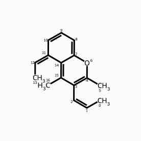 C/C=C\C1=C(C)Oc2ccc/c(=C/C)c2=C1C